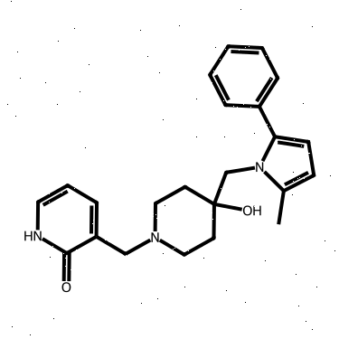 Cc1ccc(-c2ccccc2)n1CC1(O)CCN(Cc2ccc[nH]c2=O)CC1